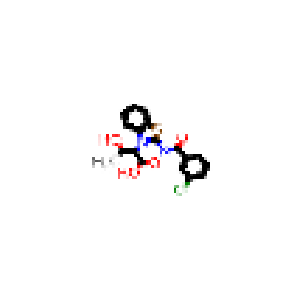 CC(O)C(C(=O)O)n1c(=NC(=O)c2cccc(Cl)c2)sc2ccccc21